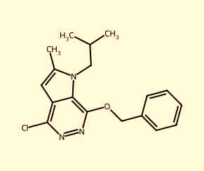 Cc1cc2c(Cl)nnc(OCc3ccccc3)c2n1CC(C)C